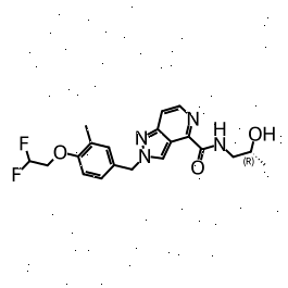 Cc1cc(Cn2cc3c(C(=O)NC[C@@H](C)O)nccc3n2)ccc1OCC(F)F